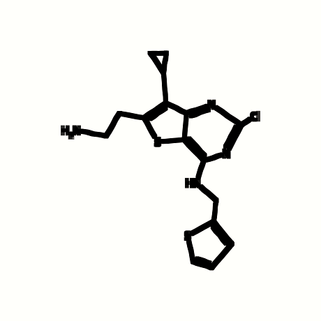 NCCc1sc2c(NCc3cccs3)nc(Cl)nc2c1C1CC1